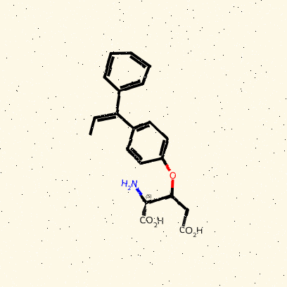 CC=C(c1ccccc1)c1ccc(OC(CC(=O)O)[C@H](N)C(=O)O)cc1